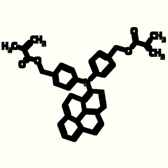 C=C(C)C(=O)OCc1ccc(N(c2ccc(COC(=O)C(=C)C)cc2)c2ccc3c4c2CC=C2C=CC=C(C=C3)C24)cc1